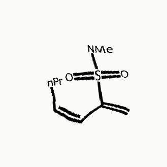 C=C(/C=C\CCC)S(=O)(=O)NC